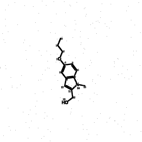 CCCOc1ccc2c(c1)cc(CO)n2C